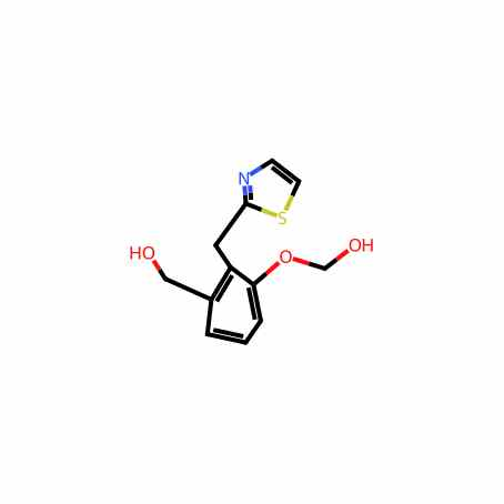 OCOc1cccc(CO)c1Cc1nccs1